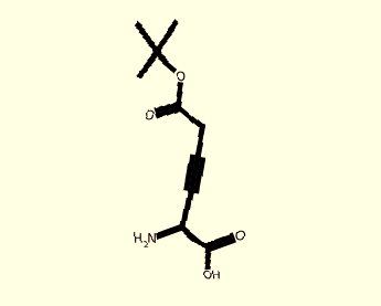 CC(C)(C)OC(=O)CC#CC(N)C(=O)O